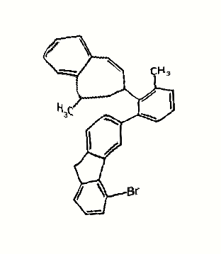 Cc1cccc(-c2ccc3c(c2)-c2c(Br)cccc2C3)c1C1C=Cc2ccccc2C(C)C1